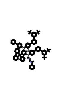 C/C(=C\C=C\N1c2ccc(-c3cccc(-c4cc(C(C)(C)C)cc(C(C)(C)C)c4)c3)cc2B2c3cc(-c4cccc(-c5cc(C(C)(C)C)cc(C(C)(C)C)c5)c4)ccc3N(c3ccc(-c4ccccc4)cc3)c3cc(C4(c5ccccc5)c5ccccc5-c5ccccc54)cc1c32)c1ccccc1